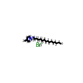 CCCCCCCCCCCCCCCC[n+]1ccc(C)cc1.[Br-]